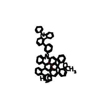 CC1C=CC2=C(C1)c1cc(N(c3cccc(-c4cccc5c4c4ccccc4n5-c4ccccc4)c3)c3ccccc3-c3ccccc3-c3ccccc3-c3ccccc3)ccc1C21c2ccccc2OC2(C)C=CC=CC21